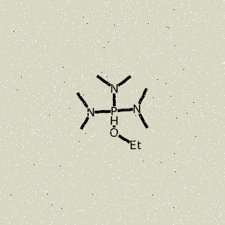 CCO[PH](N(C)C)(N(C)C)N(C)C